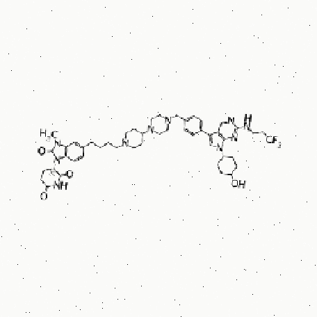 Cn1c(=O)n([C@H]2CCC(=O)NC2=O)c2ccc(CCCCN3CCC(N4CCN(Cc5ccc(-c6cn([C@H]7CC[C@H](O)CC7)c7nc(NCCC(F)(F)F)ncc67)cc5)CC4)CC3)cc21